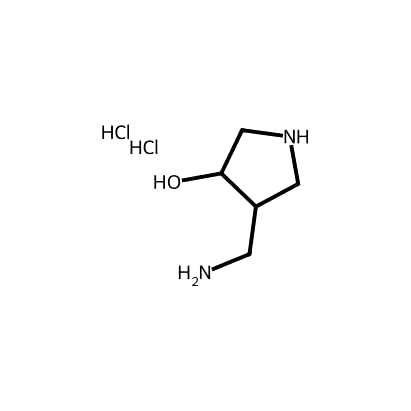 Cl.Cl.NCC1CNCC1O